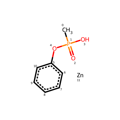 CP(=O)(O)Oc1ccccc1.[Zn]